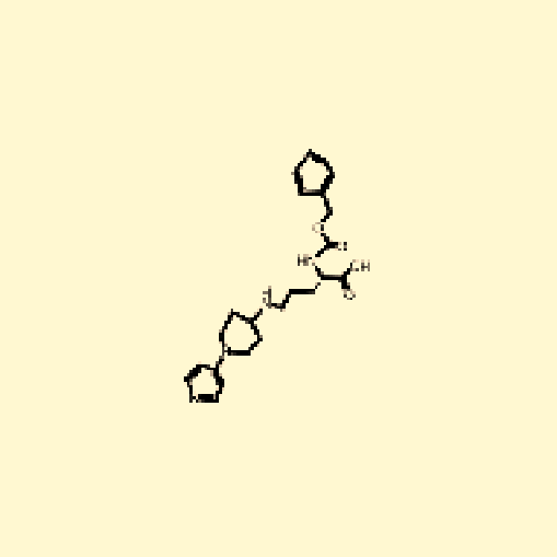 O=C(N[C@@H](CCCNC1CCN(c2ccncc2)CC1)C(=O)O)OCc1ccccc1